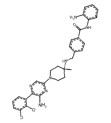 CC1(NCc2ccc(C(=O)Nc3ccccc3N)cc2)CCN(c2cnc(-c3cccc(Cl)c3Cl)c(N)n2)CC1